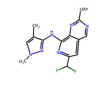 CSc1ncc2cc(C(F)F)nc(Nc3nn(C)cc3C)c2n1